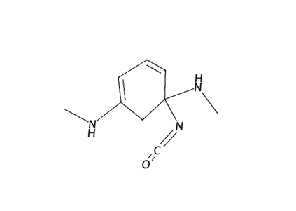 CNC1=CC=CC(N=C=O)(NC)C1